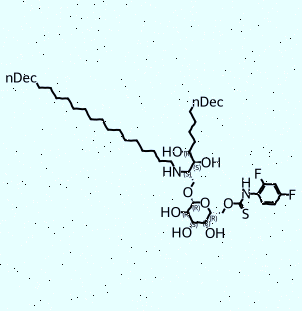 CCCCCCCCCCCCCCCCCCCCCCCCCCN[C@@H](CO[C@@H]1O[C@H](COC(=S)Nc2ccc(F)cc2F)[C@H](O)[C@H](O)[C@H]1O)[C@H](O)[C@H](O)CCCCCCCCCCCCCC